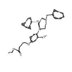 CCOC(=O)COc1ccc(N2CCN(Cc3ccccc3)C[C@H]2c2ccccc2)c(Cl)c1